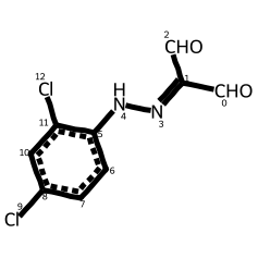 O=CC(C=O)=NNc1ccc(Cl)cc1Cl